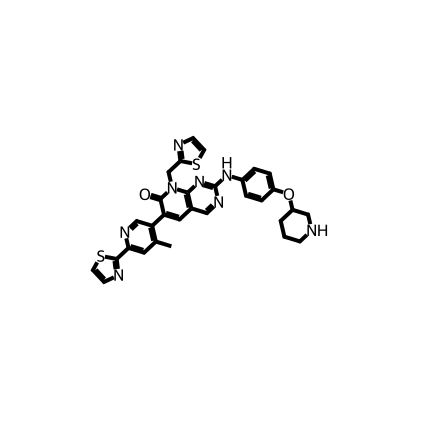 Cc1cc(-c2nccs2)ncc1-c1cc2cnc(Nc3ccc(OC4CCCNC4)cc3)nc2n(Cc2nccs2)c1=O